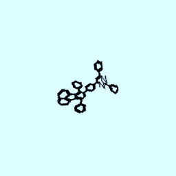 c1ccc(-c2cc(-c3ccc(-c4cc(-c5ccccc5)c5c(c4-c4ccccc4)-c4cccc6cccc-5c46)cc3)nc(-c3ccccc3)n2)cc1